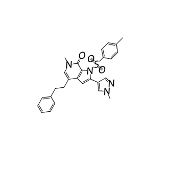 Cc1ccc(S(=O)(=O)n2c(-c3cnn(C)c3)cc3c(CCc4ccccc4)cn(C)c(=O)c32)cc1